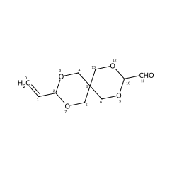 C=CC1OCC2(CO1)COC(C=O)OC2